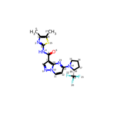 Cc1nc(NC(=O)c2cnn3ccc(N4CCC[C@@H]4C(F)(F)F)nc23)sc1C